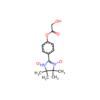 CC1(C)[N+]([O-])=C(c2ccc(OC(=O)CO)cc2)[NH+]([O-])C1(C)C